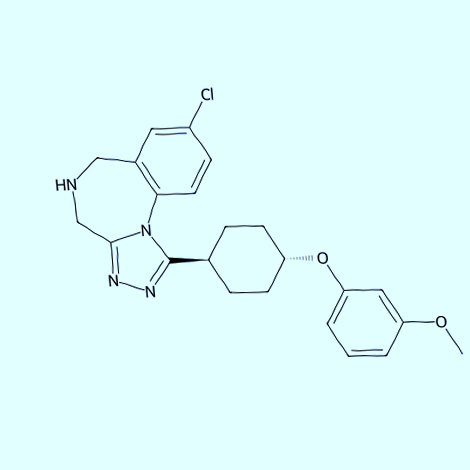 COc1cccc(O[C@H]2CC[C@H](c3nnc4n3-c3ccc(Cl)cc3CNC4)CC2)c1